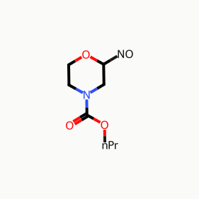 CCCOC(=O)N1CCOC(N=O)C1